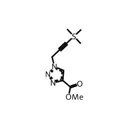 COC(=O)c1cn(CC#CS(C)(C)C)nn1